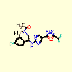 CC(=O)N(C)CC(Nc1ncc(-c2nnc(C(F)F)o2)cn1)c1ccc(F)cc1